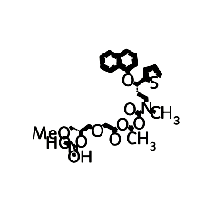 COC[C@H](COCC(=O)OC(C)OC(=O)N(C)CC[C@H](Oc1cccc2ccccc12)c1cccs1)ON(O)O